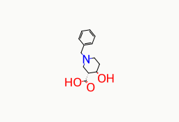 O=C(O)[C@@H]1CN(Cc2ccccc2)CC[C@H]1O